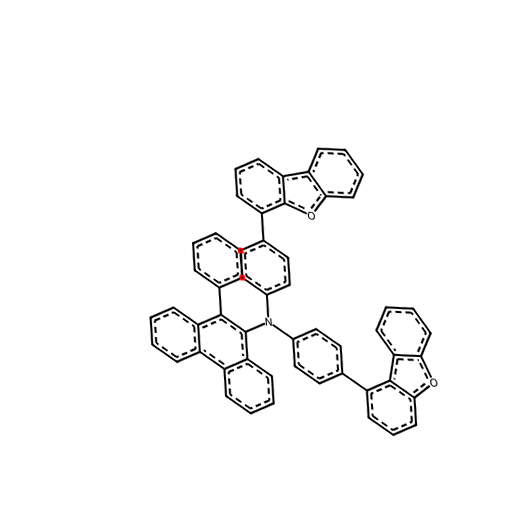 c1ccc(-c2c(N(c3ccc(-c4cccc5c4oc4ccccc45)cc3)c3ccc(-c4cccc5oc6ccccc6c45)cc3)c3ccccc3c3ccccc23)cc1